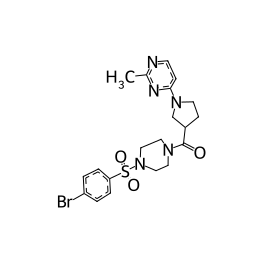 Cc1nccc(N2CCC(C(=O)N3CCN(S(=O)(=O)c4ccc(Br)cc4)CC3)C2)n1